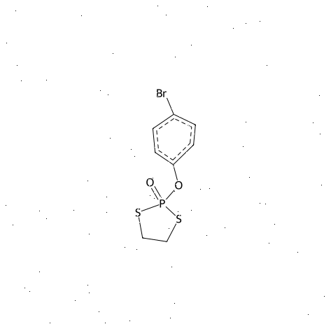 O=P1(Oc2ccc(Br)cc2)SCCS1